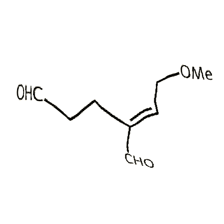 COC/C=C(/C=O)CCC=O